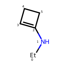 CCNC1=CCC1